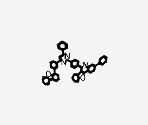 c1ccc(-c2ccc3c(c2)nc(-c2ccc(-c4nc(-c5ccccc5)cc(-c5cccc(-c6cccc7c6oc6ccccc67)c5)n4)cc2)c2c4ccccc4oc32)cc1